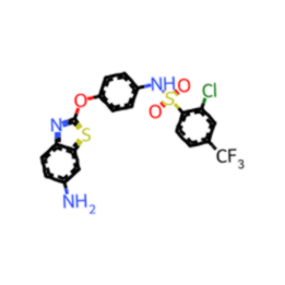 Nc1ccc2nc(Oc3ccc(NS(=O)(=O)c4ccc(C(F)(F)F)cc4Cl)cc3)sc2c1